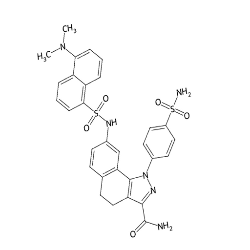 CN(C)c1cccc2c(S(=O)(=O)Nc3ccc4c(c3)-c3c(c(C(N)=O)nn3-c3ccc(S(N)(=O)=O)cc3)CC4)cccc12